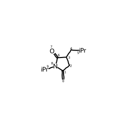 C=C1CC(CC(C)C)C(=O)N1C(C)C